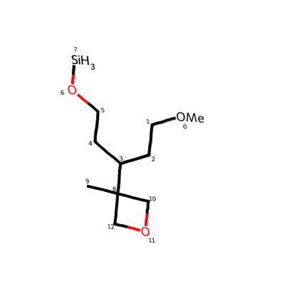 COCCC(CCO[SiH3])C1(C)COC1